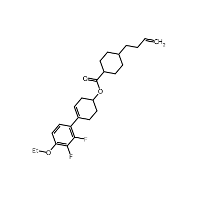 C=CCCC1CCC(C(=O)OC2CC=C(c3ccc(OCC)c(F)c3F)CC2)CC1